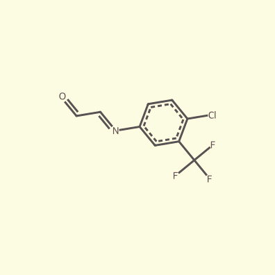 O=CC=Nc1ccc(Cl)c(C(F)(F)F)c1